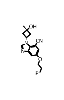 CC(C)CCOc1cc(C#N)c2c(c1)ncn2[C@H]1C[C@@](C)(O)C1